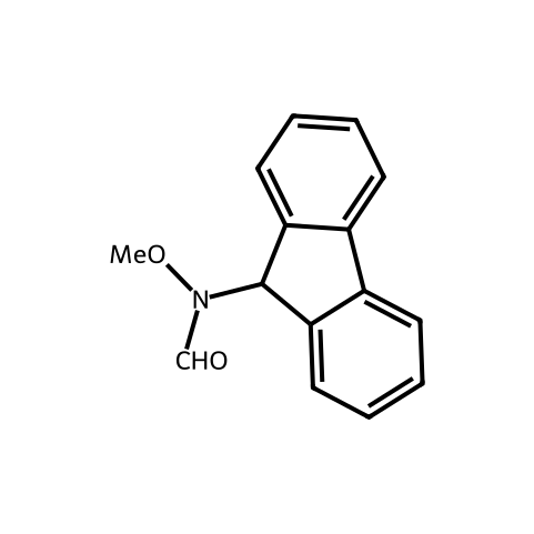 CON(C=O)C1c2ccccc2-c2ccccc21